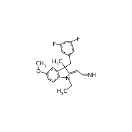 CCN1/C(=C\C=N)C(C)(Cc2cc(F)cc(F)c2)c2cc(OC)ccc21